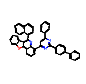 c1ccc(-c2ccc(-c3nc(-c4ccccc4)cc(-c4cccc5c4nc(-c4cccc6ccccc46)c4c6ccccc6oc54)n3)cc2)cc1